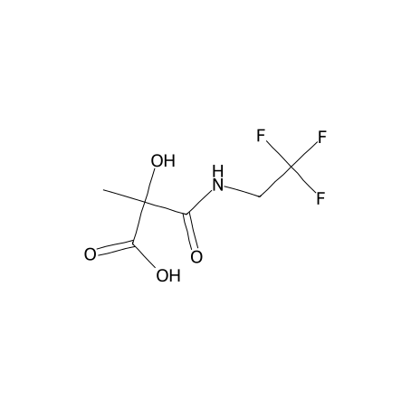 CC(O)(C(=O)O)C(=O)NCC(F)(F)F